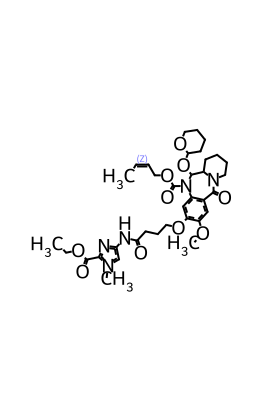 C/C=C\COC(=O)N1c2cc(OCCCC(=O)Nc3cn(C)c(C(=O)OCC)n3)c(OC)cc2C(=O)N2CCCCC2C1OC1CCCCO1